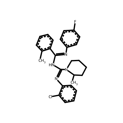 Cc1ccccc1/C(=N\c1ccc(F)cc1)N/C(=N/c1ccccc1Cl)N1CCCCC1C